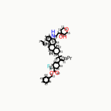 C=C(C)[C@@H]1CC[C@]2(NCCC3(O)CCOCC3)CC[C@]3(C)[C@H](CC[C@@H]4C[C@H](C(C)(C)/C(=C\CCC)C5=CC[C@](CF)(C(=O)OCc6ccccc6)CC5)CC[C@]43C)[C@@H]12